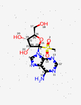 CS(=O)(=O)[C@@]1(n2cnc3c(N)ncnc32)O[C@H](CO)[C@@H](O)[C@H]1O